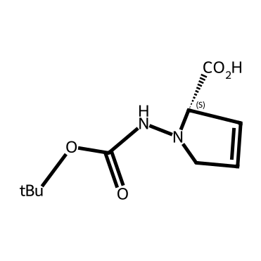 CC(C)(C)OC(=O)NN1CC=C[C@H]1C(=O)O